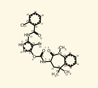 CN1C(=O)C(NC(=O)Oc2n[nH]c(NC(=O)c3ccccc3Cl)c2Br)CC(C)(C)c2ccccc21